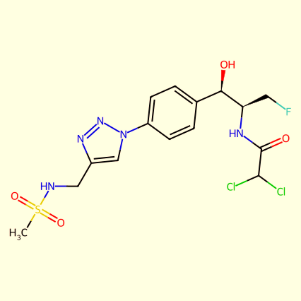 CS(=O)(=O)NCc1cn(-c2ccc([C@@H](O)[C@@H](CF)NC(=O)C(Cl)Cl)cc2)nn1